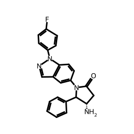 N[C@H]1CC(=O)N(c2ccc3c(cnn3-c3ccc(F)cc3)c2)C1c1ccccc1